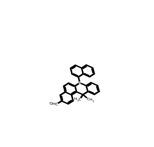 CC1(C)c2ccccc2N(c2cccc3ccccc23)c2ccc3cc(C=O)ccc3c21